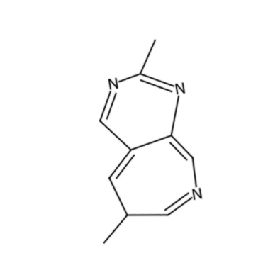 Cc1ncc2c(n1)=CN=CC(C)C=2